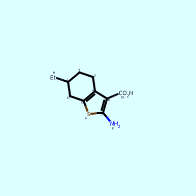 CCC1CCc2c(sc(N)c2C(=O)O)C1